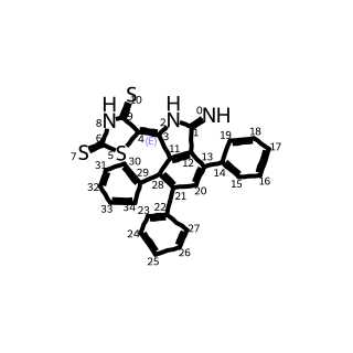 N=C1N/C(=C2/SC(=S)NC2=S)c2c1c(-c1ccccc1)cc(-c1ccccc1)c2-c1ccccc1